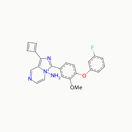 COc1cc(C2=NC(C3=CC=C3)=C3C=NC=C[N+]23N)ccc1Oc1cccc(F)c1